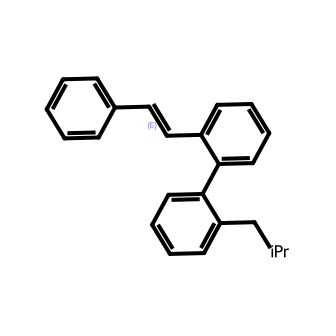 CC(C)Cc1ccccc1-c1ccccc1/C=C/c1ccccc1